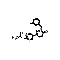 CC(C)Oc1ncc(-c2ccc(=O)n(Cc3cccc(F)c3)n2)cn1